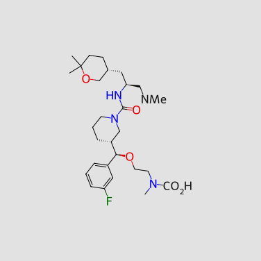 CNC[C@H](C[C@H]1CCC(C)(C)OC1)NC(=O)N1CCC[C@@H]([C@@H](OCCN(C)C(=O)O)c2cccc(F)c2)C1